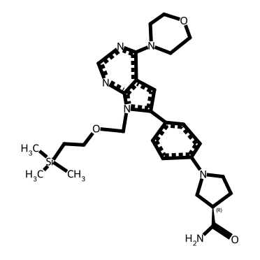 C[Si](C)(C)CCOCn1c(-c2ccc(N3CC[C@@H](C(N)=O)C3)cc2)cc2c(N3CCOCC3)ncnc21